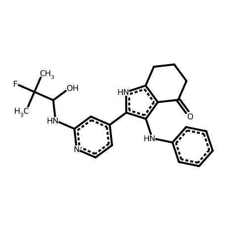 CC(C)(F)C(O)Nc1cc(-c2[nH]c3c(c2Nc2ccccc2)C(=O)CCC3)ccn1